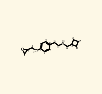 c1cc(OCC2CO2)ccc1CCSCC1CCC1